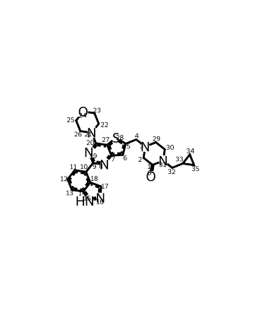 O=C1CN(Cc2cc3nc(-c4cccc5[nH]ncc45)nc(N4CCOCC4)c3s2)CCN1CC1CC1